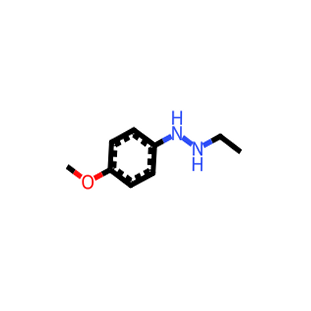 CCNNc1ccc(OC)cc1